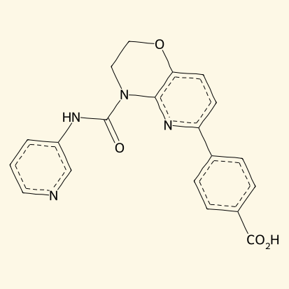 O=C(O)c1ccc(-c2ccc3c(n2)N(C(=O)Nc2cccnc2)CCO3)cc1